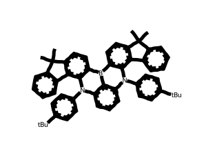 CC(C)(C)c1ccc(N2c3cccc4c3B(c3ccc5c(c32)-c2ccccc2C5(C)C)c2ccc3c(c2N4c2ccc(C(C)(C)C)cc2)-c2ccccc2C3(C)C)cc1